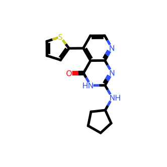 O=c1[nH]c(NC2CCCC2)nc2nccc(-c3cccs3)c12